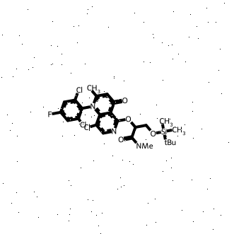 CNC(=O)C(CO[Si](C)(C)C(C)(C)C)Oc1ncc(Cl)c2c1c(=O)cc(C)n2-c1c(Cl)cc(F)cc1Cl